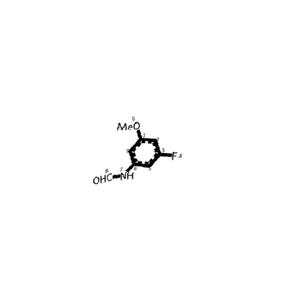 COc1cc(F)cc(NC=O)c1